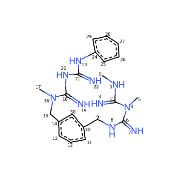 CNC(=N)N(C)C(=N)NCc1cccc(CN(C)C(=N)NC(=N)Nc2ccccc2)c1